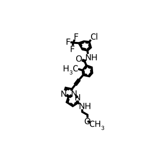 COCCNc1ccc2ncc(C#Cc3cccc(C(=O)Nc4cc(Cl)cc(C(F)(F)F)c4)c3C)n2n1